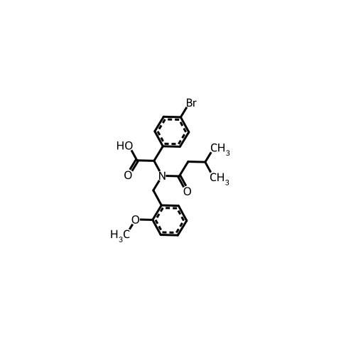 COc1ccccc1CN(C(=O)CC(C)C)C(C(=O)O)c1ccc(Br)cc1